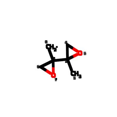 [CH2]C1(C2(C)CO2)CO1